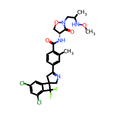 CONC(C)CN1OC[C@@H](NC(=O)c2ccc(C3=NCC4(C3)c3cc(Cl)cc(Cl)c3C4(F)F)cc2C)C1=O